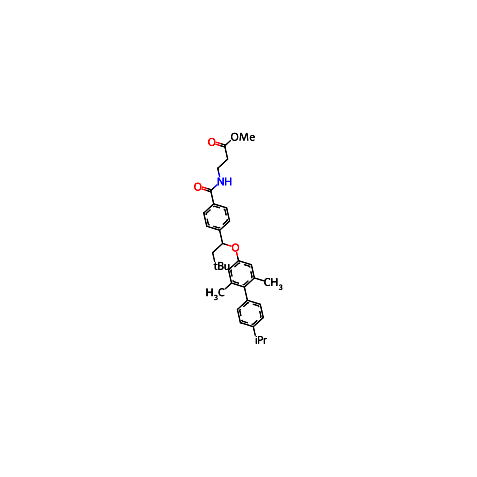 COC(=O)CCNC(=O)c1ccc(C(CC(C)(C)C)Oc2cc(C)c(-c3ccc(C(C)C)cc3)c(C)c2)cc1